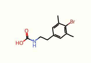 Cc1cc(CCNC(=O)O)cc(C)c1Br